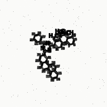 CC1(C)c2ccccc2-c2ccc(-c3nc(-c4ccccc4)nc(-c4ccc5ccc6c7ccccc7ccc6c5c4)n3)cc2C1(C)C